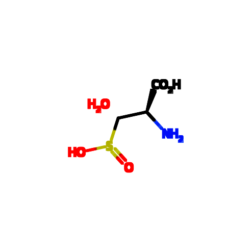 N[C@@H](CS(=O)O)C(=O)O.O